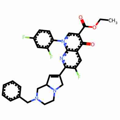 CCOC(=O)c1cn(-c2ccc(F)cc2F)c2nc(C3=CC4CN(Cc5ccccc5)CCN4C3)c(F)cc2c1=O